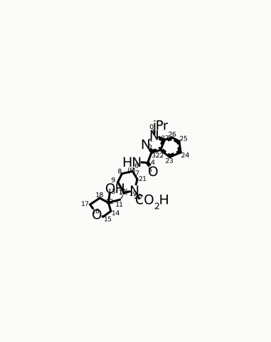 CC(C)n1nc(C(=O)N[C@H]2CC[C@@H](CC3(O)CCOCC3)N(C(=O)O)C2)c2ccccc21